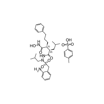 CC(C)C[C@@H](C(=O)NN(CC(C)C)S(=O)(=O)Cc1ccccc1N)[C@H](CCCc1ccccc1)C(=O)NO.Cc1ccc(S(=O)(=O)O)cc1